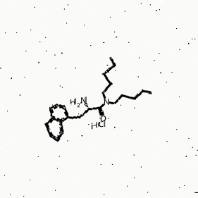 CCCCCN(CCCCC)C(=O)[C@H](N)Cc1cccc2ccccc12.Cl